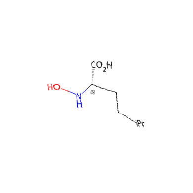 CC(C)CC[C@H](NO)C(=O)O